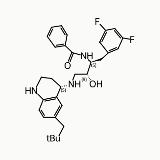 CC(C)(C)Cc1ccc2c(c1)[C@@H](NC[C@@H](O)[C@H](Cc1cc(F)cc(F)c1)NC(=O)c1ccccc1)CCN2